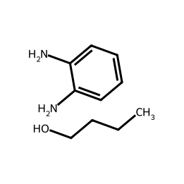 CCCCO.Nc1ccccc1N